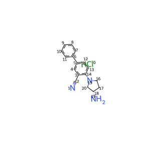 Cl.N#Cc1cc(-c2ccccc2)ccc1N1CC[C@H](N)C1